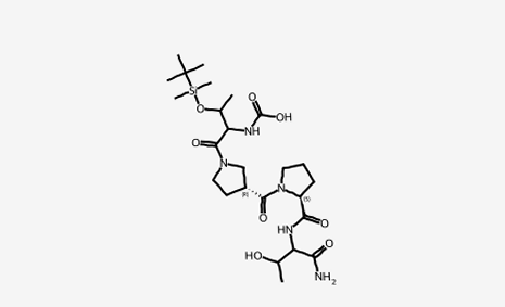 CC(O)C(NC(=O)[C@@H]1CCCN1C(=O)[C@@H]1CCN(C(=O)C(NC(=O)O)C(C)O[Si](C)(C)C(C)(C)C)C1)C(N)=O